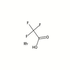 O=C(O)C(F)(F)F.[Rh]